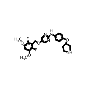 COc1cc(OC)c(F)c(COc2cnc(Nc3ccc(OC4CCNCC4)cc3)nc2)c1F